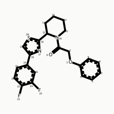 O=C(COc1ccccc1)N1CCCCC1c1nc(-c2ccc(F)c(F)c2)cs1